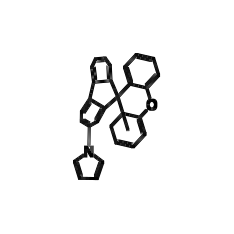 CC12CC=CC=C1Oc1ccccc1C21c2ccccc2-c2ccc(-n3cccc3)cc21